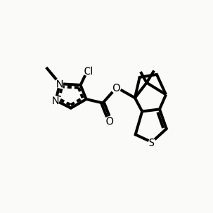 Cn1ncc(C(=O)OC23CCC(C4=CSCC42)C3(C)C)c1Cl